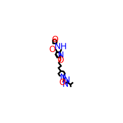 Cc1nc(OCCCC2CCN(c3nc(C(C)C)no3)CC2)ccc1C(=O)N[C@@H]1CCOC1